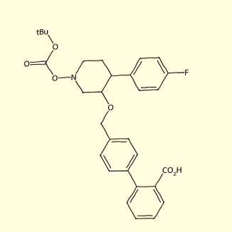 CC(C)(C)OC(=O)ON1CCC(c2ccc(F)cc2)C(OCc2ccc(-c3ccccc3C(=O)O)cc2)C1